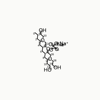 CCCCCCCCCCCCO.O=S(=O)([O-])[O-].OCCOCCOCCOCCO.[Na+].[Na+]